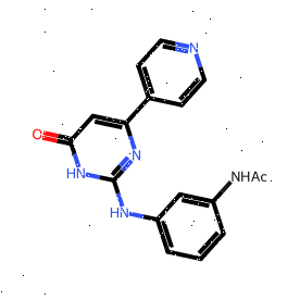 CC(=O)Nc1cccc(Nc2nc(-c3ccncc3)cc(=O)[nH]2)c1